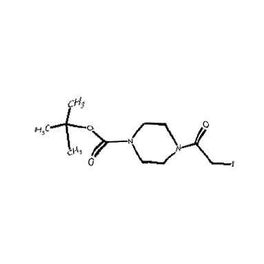 CC(C)(C)OC(=O)N1CCN(C(=O)CI)CC1